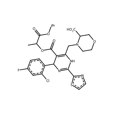 CC(C)OC(=O)C(C)OC(=O)C1=C(CN2CCOCC2C(=O)O)NC(c2nccs2)=NC1c1ccc(F)cc1Cl